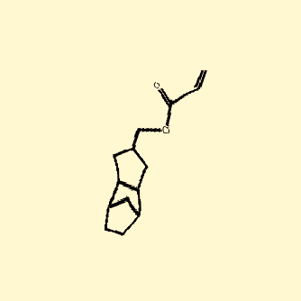 C=CC(=O)OCC1CC2C3CCC(C3)C2C1